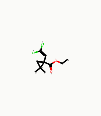 CCOC(=O)C1(C=C(Cl)Cl)CC1(C)C